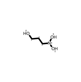 OCCCN(O)O